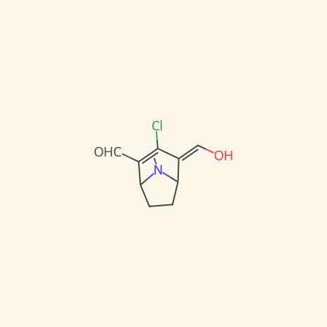 CN1C2CCC1/C(=C\O)C(Cl)=C2C=O